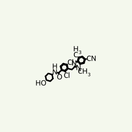 Cc1cc(C#N)cc2c1nc(Cc1c(Cl)ccc(C(=O)NC3CCC(O)CC3)c1Cl)n2C